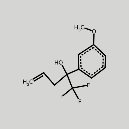 C=CCC(O)(c1cccc(OC)c1)C(F)(F)I